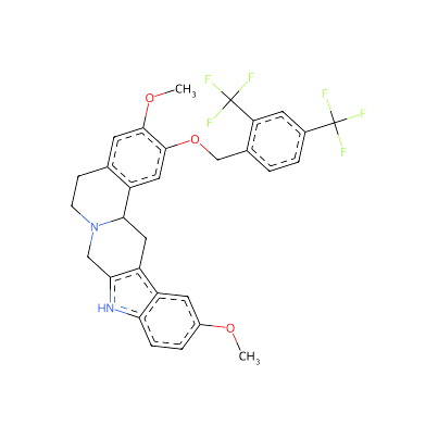 COc1ccc2[nH]c3c(c2c1)CC1c2cc(OCc4ccc(C(F)(F)F)cc4C(F)(F)F)c(OC)cc2CCN1C3